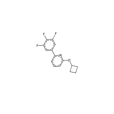 Fc1cc(-c2cccc(OC3CCC3)n2)cc(F)c1F